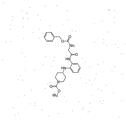 CC(C)(C)OC(=O)N1CCC(Nc2ccccc2NC(=O)CNC(=O)OCc2ccccc2)CC1